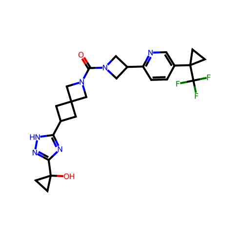 O=C(N1CC(c2ccc(C3(C(F)(F)F)CC3)cn2)C1)N1CC2(CC(c3nc(C4(O)CC4)n[nH]3)C2)C1